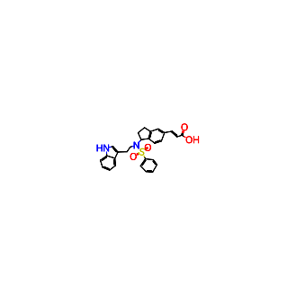 O=C(O)C=Cc1ccc2c(c1)CCC2N(CCc1c[nH]c2ccccc12)S(=O)(=O)c1ccccc1